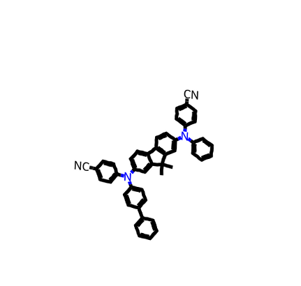 CC1(C)c2cc(N(c3ccccc3)c3ccc(C#N)cc3)ccc2-c2ccc(N(c3ccc(C#N)cc3)c3ccc(-c4ccccc4)cc3)cc21